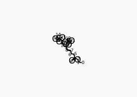 CCOC(=O)CCC=CC(CCOS(C)(=O)=O)OS(C)(=O)=O